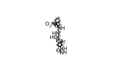 CCCC(=O)Nc1ccc(OCC(O)CNCCNC(=O)CC2CCCCC2O[N+](=O)[O-])c(C(C)=O)c1